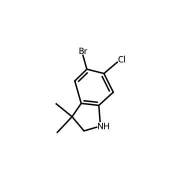 CC1(C)CNc2cc(Cl)c(Br)cc21